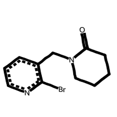 O=C1CCCCN1Cc1cccnc1Br